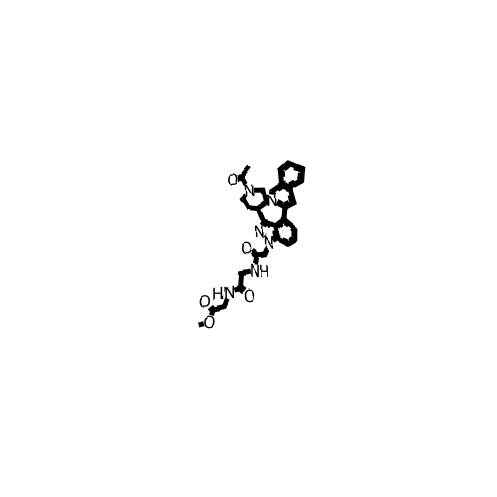 COC(=O)CNC(=O)CNC(=O)Cn1nc(C2CCN(C(C)=O)CC2)c2c(-c3cc4ccccc4cn3)cccc21